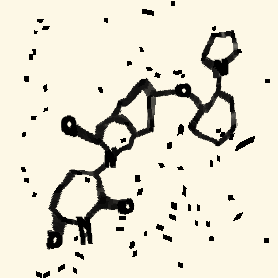 O=C1CCC(N2Cc3cc(OC4CCCCC4N4CCCC4)ccc3C2=O)C(=O)N1